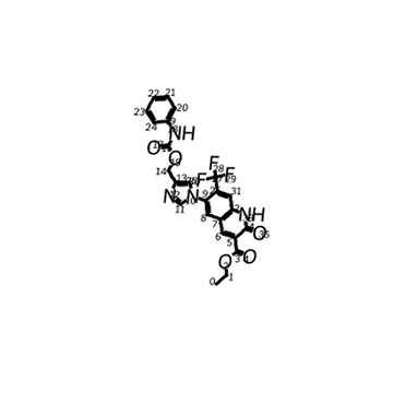 CCOC(=O)c1cc2cc(-n3cnc(COC(=O)Nc4ccccc4)c3)c(C(F)(F)F)cc2[nH]c1=O